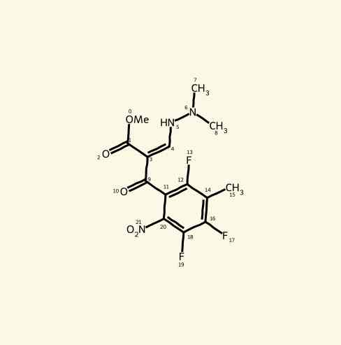 COC(=O)C(=CNN(C)C)C(=O)c1c(F)c(C)c(F)c(F)c1[N+](=O)[O-]